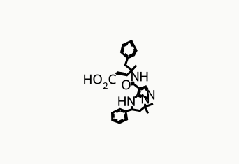 CC(C=CC(=O)O)(Cc1ccccc1)NC(=O)c1cnn2c1NC(c1ccccc1)CC2(C)C